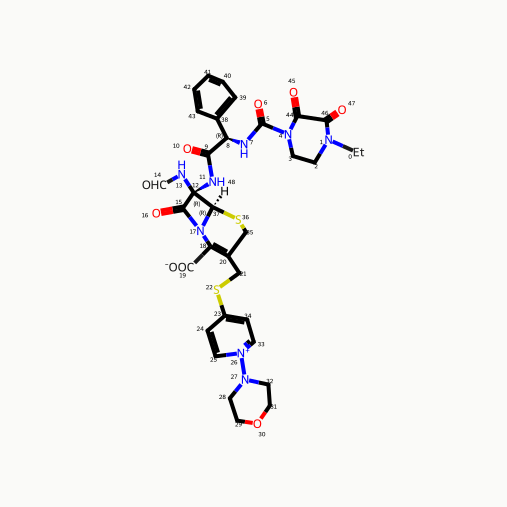 CCN1CCN(C(=O)N[C@@H](C(=O)N[C@]2(NC=O)C(=O)N3C(C(=O)[O-])=C(CSc4cc[n+](N5CCOCC5)cc4)CS[C@@H]32)c2ccccc2)C(=O)C1=O